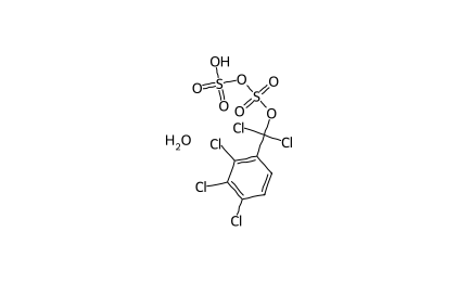 O.O=S(=O)(O)OS(=O)(=O)OC(Cl)(Cl)c1ccc(Cl)c(Cl)c1Cl